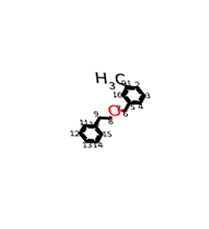 Cc1cccc(COCCc2ccccc2)c1